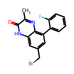 Cc1nc2c(-c3ccccc3F)cc(CBr)cc2[nH]c1=O